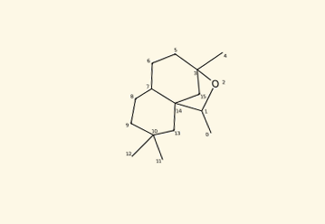 CC1OC2(C)CCC3CCC(C)(C)CC31C2